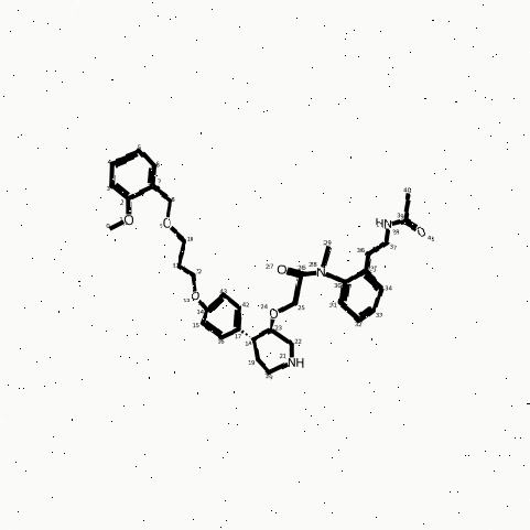 COc1ccccc1COCCCOc1ccc([C@H]2CCNC[C@@H]2OCC(=O)N(C)c2ccccc2CCNC(C)=O)cc1